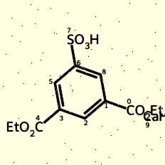 CCOC(=O)c1cc(C(=O)OCC)cc(S(=O)(=O)O)c1.[CaH2]